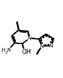 CC1=CN(c2ccnn2C)C(O)C(N)=C1